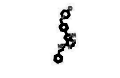 O=C1CCN(Cc2ccc(-c3cc4c(NCCc5ccccc5)ncnc4[nH]3)cc2)CC1